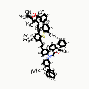 COc1ccc(N(CCO[Si](c2ccccc2)(c2ccccc2)C(C)(C)C)c2ccc(/C=C/C3=C(Sc4c(C)cccc4C)C(=C/C=C/C4=C(C#N)C(=C(C#N)C#N)OC4(c4ccccc4)C(F)(F)F)/CC(C)(C)C3)cc2)cc1C12CC3CC(CC(C3)C1)C2